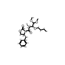 CCCCO[C@H](C(OC)OC)[C@H](C)C(=O)N1C(=O)OC[C@@H]1Cc1ccccc1